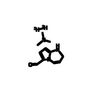 CN(C)C.O=Cc1ccc2n1C=CCN2.[3H][3H]